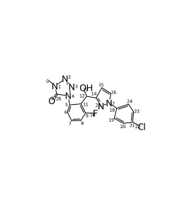 Cn1nnn(-c2cccc(F)c2C(O)c2ccn(-c3ccc(Cl)cc3)n2)c1=O